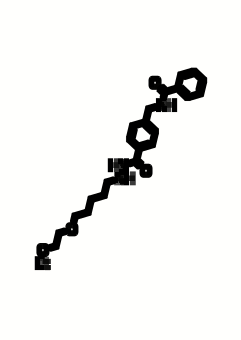 CCOCCOCCCCCNNC(=O)c1ccc(CNC(=O)c2ccccc2)cc1